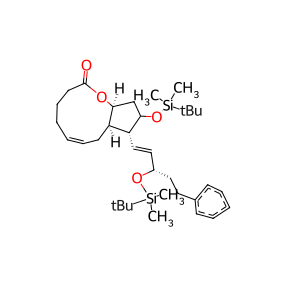 CC(C)(C)[Si](C)(C)OC1C[C@@H]2OC(=O)CCC/C=C\C[C@@H]2[C@H]1/C=C/[C@H](CCc1ccccc1)O[Si](C)(C)C(C)(C)C